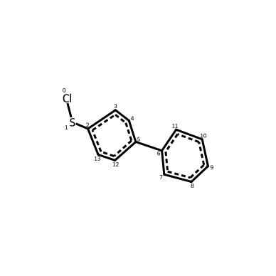 ClSc1ccc(-c2ccccc2)cc1